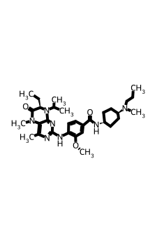 CCCN(C)[C@H]1CC[C@H](NC(=O)c2ccc(Nc3nc(C)c4c(n3)N(C(C)C)[C@H](CC)C(=O)N4C)c(OC)c2)CC1